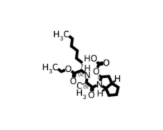 CCCCCC[C@H](N[C@@H](C)C(=O)N1[C@@H](OC(=O)O)C[C@@H]2CCC[C@@H]21)C(=O)OCC